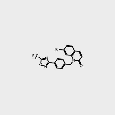 O=c1ccc2ccc(Br)cc2n1Cc1ccc(-c2noc(C(F)(F)F)n2)cc1